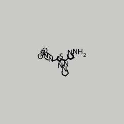 CS(=O)(=O)N1CCN(Cc2csc3c(-c4ccc(N)nc4)nc(N4CCCCC4)nc23)CC1